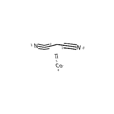 N#CC#N.[Co].[Ti]